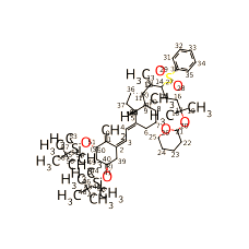 C=C1C(=CC=C2CCC[C@]3(C)[C@@H]([C@H](C)C(CCC(C)(C)OC4CCCCO4)S(=O)(=O)c4ccccc4)CC[C@@H]23)C[C@@H](O[Si](C)(C)C(C)(C)C)C[C@@H]1O[Si](C)(C)C(C)(C)C